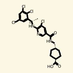 C[C@H](Nc1ncc(C(=O)NC[C@H]2CC[C@H](C(=O)O)CC2)cc1Cl)c1cc(Cl)cc(Cl)c1Cl